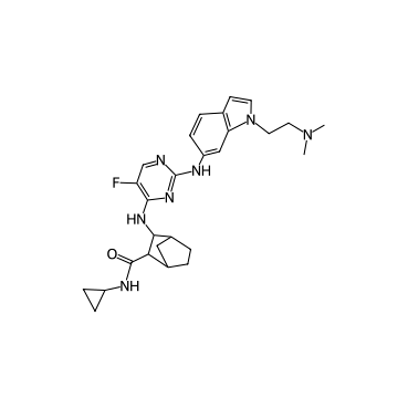 CN(C)CCn1ccc2ccc(Nc3ncc(F)c(NC4C5CCC(C5)C4C(=O)NC4CC4)n3)cc21